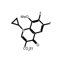 CCOC(=O)c1cn(C2CC2)c2c(OC)c(F)c(F)cc2c1=O